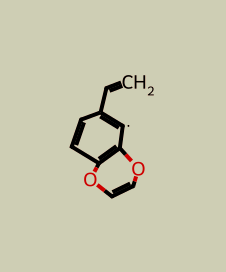 C=Cc1[c]c2c(cc1)OC=CO2